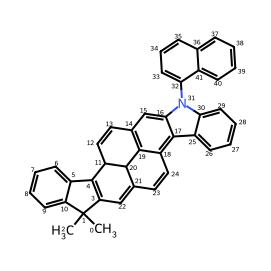 CC1(C)C2=C(c3ccccc31)C1C=Cc3cc4c(c5c3C1C(=C2)C=C5)c1ccccc1n4-c1cccc2ccccc12